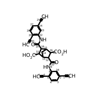 C#Cc1ccc(C#C)c(NC(=O)C2C3CC(C2C(=O)O)C(C(=O)Nc2cc(C#C)ccc2C#C)C3C(=O)O)c1